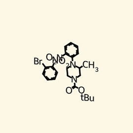 CC1CN(C(=O)OC(C)(C)C)CCN1c1ccccc1[N+](=O)[O-].O=[N+]([O-])c1ccccc1Br